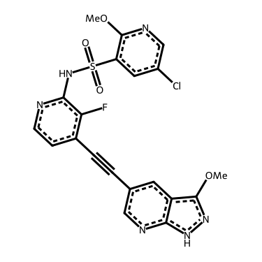 COc1ncc(Cl)cc1S(=O)(=O)Nc1nccc(C#Cc2cnc3[nH]nc(OC)c3c2)c1F